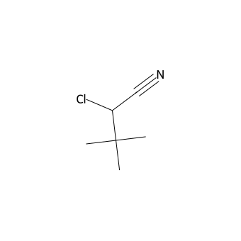 CC(C)(C)C(Cl)C#N